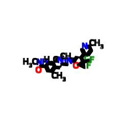 CNC(=O)c1ccc(C[C@@H](CNC(=O)C[C@@H](c2ccc(C)nc2)C2(C(F)(F)F)CC2)N(C)C)c(C)c1